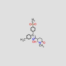 Cc1ccc([C@@H](C/C(=N/O)C2CCC(=O)N(C)C2)c2ccc(S(C)(=O)=O)cc2)cc1